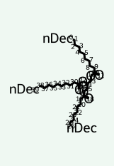 CCCCCCCCCCCCCCCCCCCC(=O)OCC(COC(=O)CCCCCCCCCCCCCCCCC)OC(=O)CCCCCCCCCCCCCCCCCCC